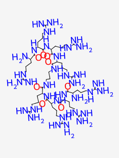 N=C(N)NCCCC(N)C(=O)NC(CCCNC(=N)N)C(=O)NC(CCCNC(=N)N)C(=O)NC(CCCNC(=N)N)C(=O)NCCCNC(=O)C(CCCNC(=N)N)NC(=O)C(CCCNC(=N)N)NC(=O)C(CCCNC(=N)N)NC(=O)C(N)CCCNC(=N)N